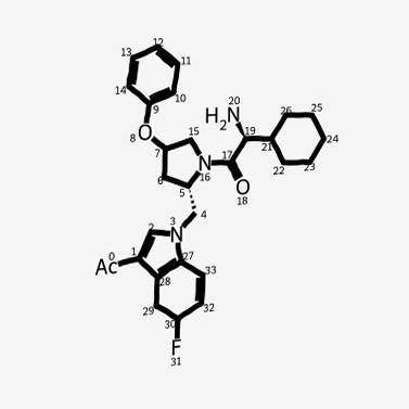 CC(=O)c1cn(C[C@@H]2CC(Oc3ccccc3)CN2C(=O)[C@@H](N)C2CCCCC2)c2c1CC(F)C=C2